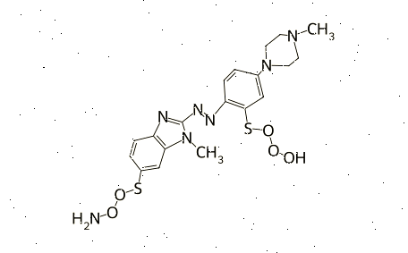 CN1CCN(c2ccc(N=Nc3nc4ccc(SOON)cc4n3C)c(SOOO)c2)CC1